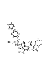 CC(C1CCCCC1)C(S)C(=O)NC1(C(=O)NC(Cc2ccc(-c3cccs3)nc2)C(=O)O)CCCC1